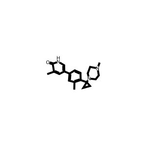 Cc1cc(-c2c[nH]c(=O)c(C)c2)ccc1C1(N2CCN(C)CC2)CC1